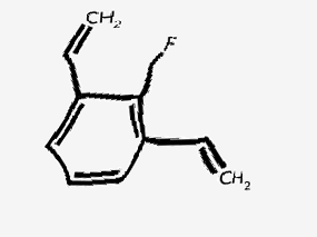 C=Cc1cccc(C=C)c1F